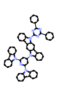 c1ccc(-c2nc(-c3ccccc3)nc(-n3c4ccccc4c4cc5c(cc43)c3ccccc3n5-c3cc(-n4c5ccccc5c5ccccc54)nc(-n4c5ccccc5c5ccccc54)c3)n2)cc1